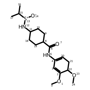 COC1=CC(NC(=O)C2CCC(N[S+]([O-])C(C)C)CC2)=CCC1OC